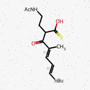 CCCC/C=C/C=C(\C)C(=O)C(CCNC(C)=O)C(O)=S